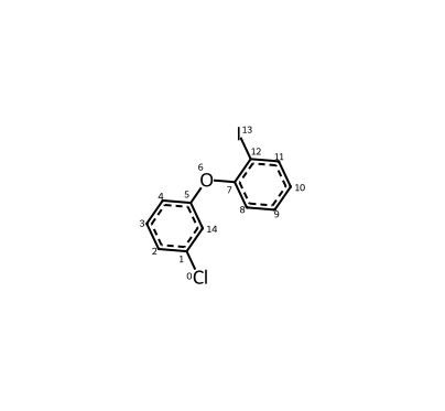 Clc1cccc(Oc2ccccc2I)c1